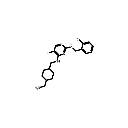 NCC1CCC(CNc2nc(NCc3ccccc3Cl)ncc2F)CC1